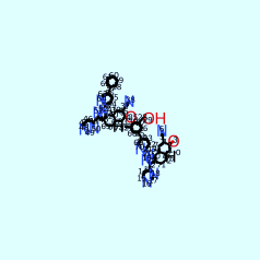 C[C@H]1C(=O)C(C#N)=C[C@@]2(C)c3c(c(-c4ccncn4)nn3-c3ccc(-c4cc(CO)cc(C[C@H]5C(=O)C(C#N)=C[C@@]6(C)c7c(c(-c8ccncn8)nn7-c7ccc(-c8ccccc8)cn7)CC[C@H]56)c4)cn3)CC[C@H]12